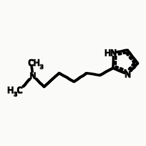 CN(C)CCCCCc1ncc[nH]1